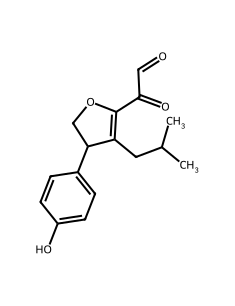 CC(C)CC1=C(C(=O)C=O)OCC1c1ccc(O)cc1